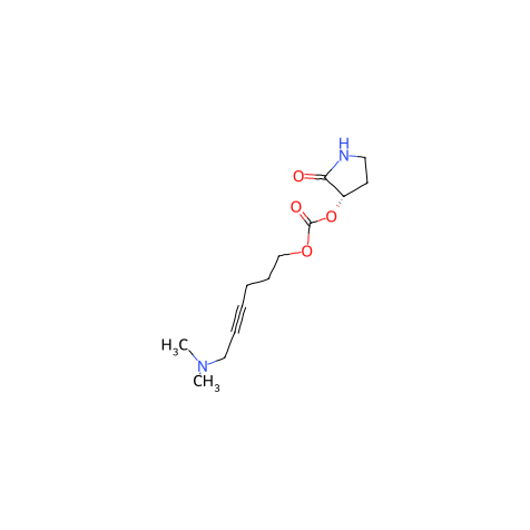 CN(C)CC#CCCCOC(=O)O[C@H]1CCNC1=O